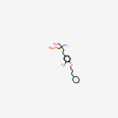 NC(CO)(CCc1ccc(OCCCC2CCCCC2)c(C(F)(F)F)c1)COP=O